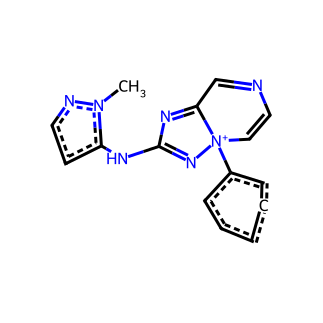 Cn1nccc1NC1=N[N+]2(c3ccccc3)C=CN=CC2=N1